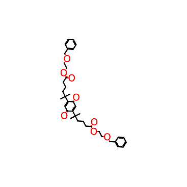 CC(C)(CCCC(=O)OCCOCc1ccccc1)C1=CC(=O)C(C(C)(C)CCCC(=O)OCCOCc2ccccc2)=CC1=O